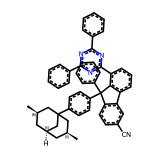 C[C@@H]1C[C@@H]2C[C@H](C)CC(c3ccc(C4(c5ccccc5)c5ccc(C#N)cc5-c5cccc(-c6nc(-c7ccccc7)nc(-c7ccccc7)n6)c54)cc3)(C1)C2